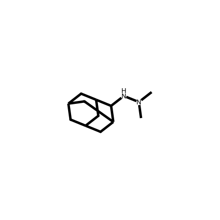 CN(C)NC1C2CC3CC(C2)CC1C3